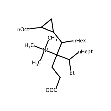 CCCCCCCCC1CC1C(CCCCCC)C(CCC(=O)[O-])(C(CC)CCCCCCC)[N+](C)(C)C